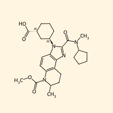 COC(=O)N1c2ccc3c(nc(C(=O)N(C)C4CCCC4)n3[C@@H]3CCC[C@@H](C(=O)O)C3)c2CCC1C